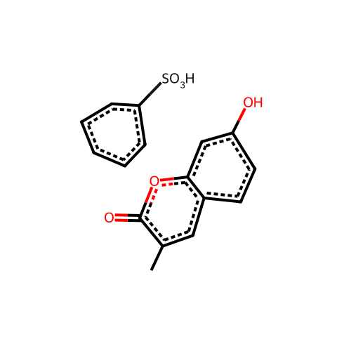 Cc1cc2ccc(O)cc2oc1=O.O=S(=O)(O)c1ccccc1